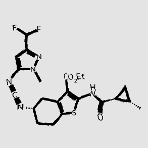 CCOC(=O)c1c(NC(=O)[C@H]2C[C@@H]2C)sc2c1C[C@@H](N=C=Nc1cc(C(F)F)nn1C)CC2